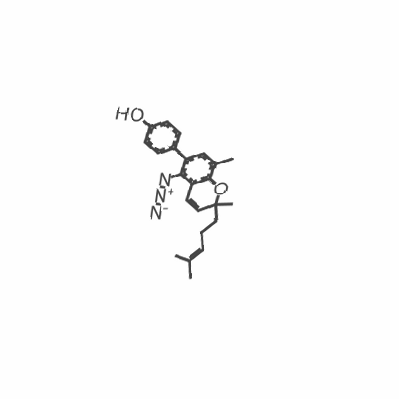 CC(C)=CCCC1(C)C=Cc2c(N=[N+]=[N-])c(-c3ccc(O)cc3)cc(C)c2O1